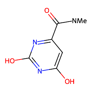 CNC(=O)c1cc(O)nc(O)n1